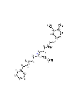 Br.Br.Oc1ccc(CCNCC/C=C/CCNCCc2ccccc2)cc1O